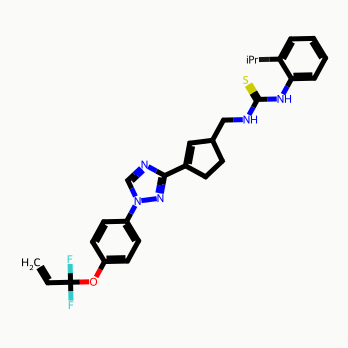 C=CC(F)(F)Oc1ccc(-n2cnc(C3=CC(CNC(=S)Nc4ccccc4C(C)C)CC3)n2)cc1